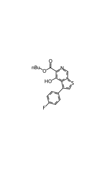 CCCCOC(=O)c1ncc2scc(-c3ccc(F)cc3)c2c1O